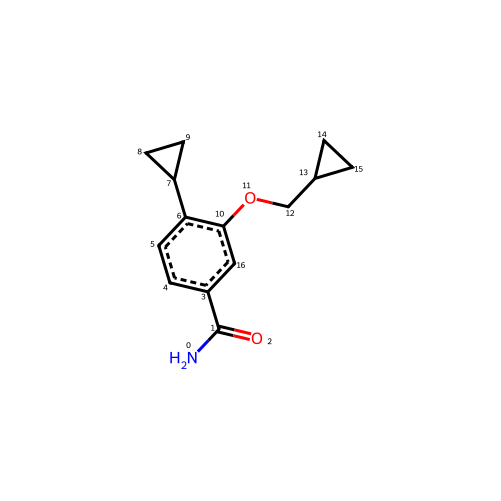 NC(=O)c1ccc(C2CC2)c(OCC2CC2)c1